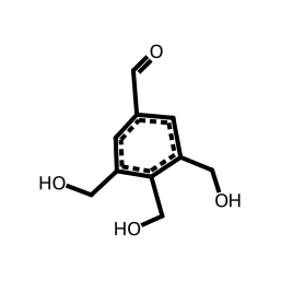 O=Cc1cc(CO)c(CO)c(CO)c1